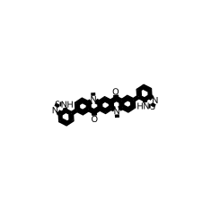 Cn1c2ccc(C3=CC=CC4=NSNC34)cc2c(=O)c2cc3c(cc21)c(=O)c1cc(C2=CC=CC4=NSNC24)ccc1n3C